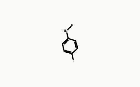 FNc1ccc(F)cc1